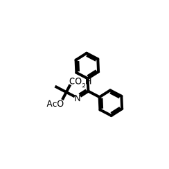 CC(=O)OC(C)(N=C(c1ccccc1)c1ccccc1)C(=O)O